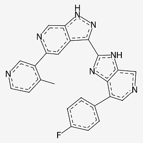 Cc1ccncc1-c1cc2c(-c3nc4c(-c5ccc(F)cc5)cncc4[nH]3)n[nH]c2cn1